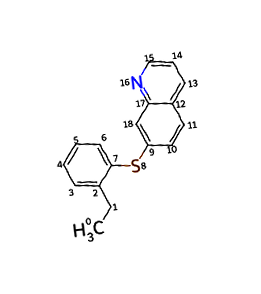 CCc1ccccc1Sc1ccc2cccnc2c1